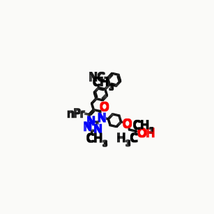 CCCc1c(Cc2ccc(-c3ccccc3C#N)c(C)c2)c(=O)n(C2CCC(OCC(C)(C)O)CC2)c2nc(C)nn12